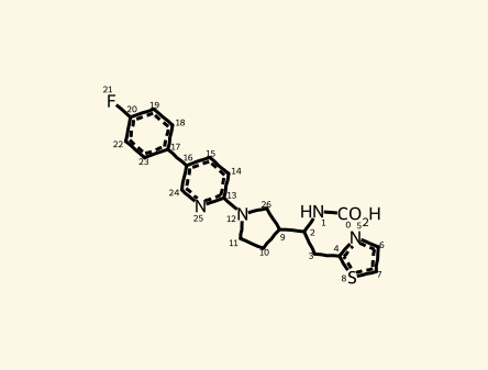 O=C(O)NC(Cc1nccs1)C1CCN(c2ccc(-c3ccc(F)cc3)cn2)C1